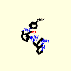 CC(C)(C)c1ccc(-n2ncc3cccc(NCc4c[nH]c5ncccc45)c3c2=O)cc1